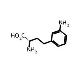 Nc1cccc(CC[C@H](N)C(=O)O)c1